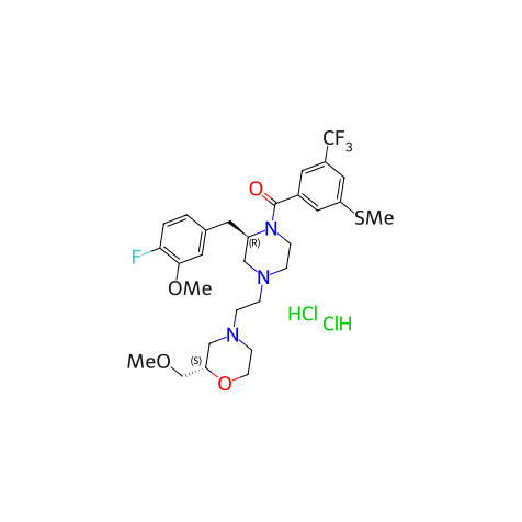 COC[C@@H]1CN(CCN2CCN(C(=O)c3cc(SC)cc(C(F)(F)F)c3)[C@H](Cc3ccc(F)c(OC)c3)C2)CCO1.Cl.Cl